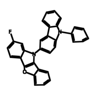 Fc1ccc2c3oc4ccccc4c3n(-c3ccc4c(c3)c3ccccc3n4-c3ccccc3)c2c1